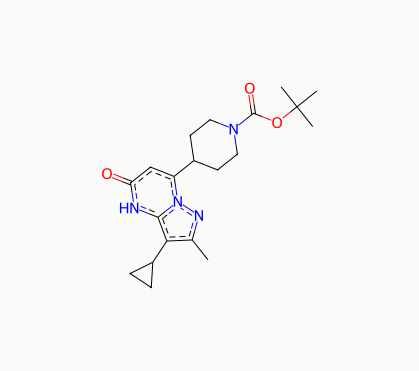 Cc1nn2c(C3CCN(C(=O)OC(C)(C)C)CC3)cc(=O)[nH]c2c1C1CC1